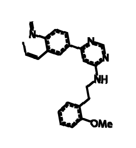 C=Nc1ccc(-c2cc(NCCc3ccccc3OC)ncn2)cc1/C=C\C